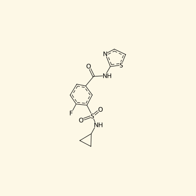 O=C(Nc1nccs1)c1ccc(F)c(S(=O)(=O)NC2CC2)c1